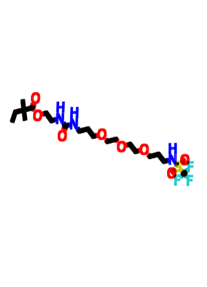 CCC(C)(C)C(=O)OCCNC(=O)NCCCOCCOCCOCCCNS(=O)(=O)C(F)(F)F